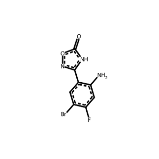 Nc1cc(F)c(Br)cc1-c1noc(=O)[nH]1